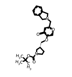 CC(C)(C)OC(=O)N1CC[C@@H](COc2coc(CN3Cc4ccccc4C3)cc2=O)C1